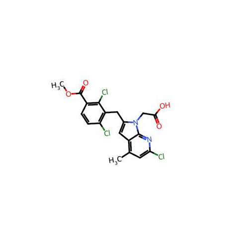 COC(=O)c1ccc(Cl)c(Cc2cc3c(C)cc(Cl)nc3n2CC(=O)O)c1Cl